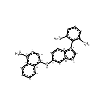 COc1cccc(C)c1-n1cnc2cc(Nc3nnc(C)c4ccccc34)ccc21